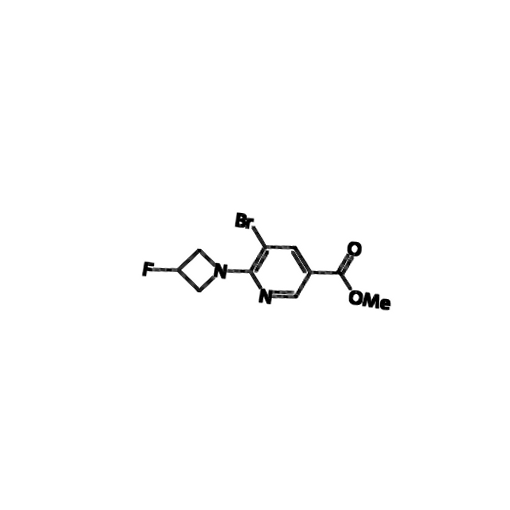 COC(=O)c1cnc(N2CC(F)C2)c(Br)c1